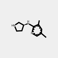 Cc1cnc(N[C@H]2CCNC2)c(C)c1